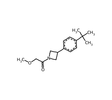 COCC(=O)N1CC(c2ccc(C(C)(C)C)cc2)C1